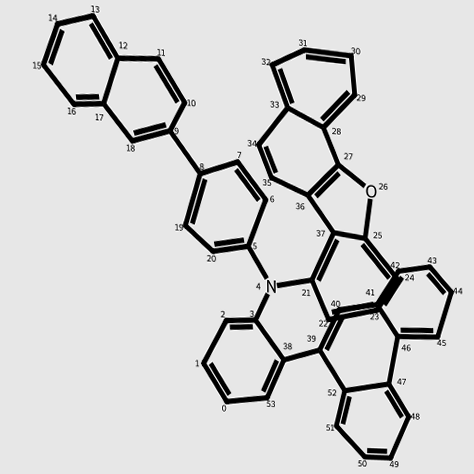 c1ccc(N(c2ccc(-c3ccc4ccccc4c3)cc2)c2cccc3oc4c5ccccc5ccc4c23)c(-c2cc3ccccc3c3ccccc23)c1